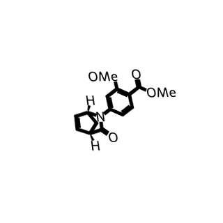 COC(=O)c1ccc(N2C(=O)[C@@H]3C=C[C@H]2C3)cc1OC